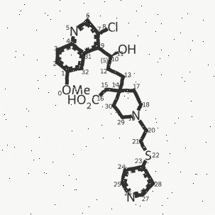 COc1ccc2ncc(Cl)c([C@@H](O)CCC3(CC(=O)O)CCN(CCSc4ccncc4)CC3)c2c1